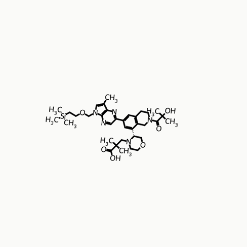 Cc1cn(COCC[Si](C)(C)C)c2ncc(-c3cc4c(c([C@@H]5COCCN5CC(C)(C)C(=O)O)c3)CN(C(=O)C(C)(C)O)CC4)nc12